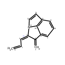 C=C/C=c1\c(=C)c2cccc3ccn1c32